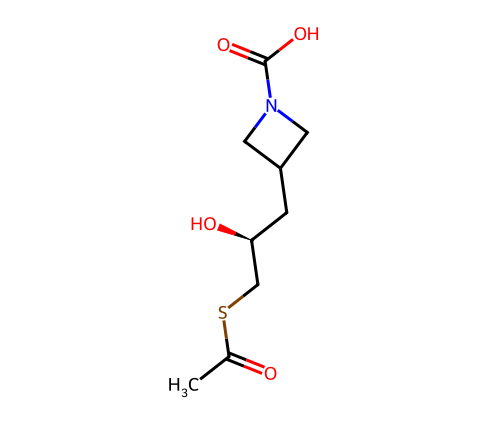 CC(=O)SC[C@@H](O)CC1CN(C(=O)O)C1